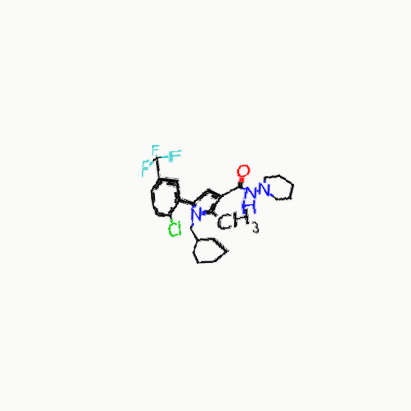 Cc1c(C(=O)NN2CCCCC2)cc(-c2cc(C(F)(F)F)ccc2Cl)n1CC1CCCCC1